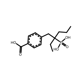 CCCC(CC)(Cc1ccc(C(=O)O)cc1)P(=O)(O)O